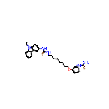 CCn1c2ccccc2c2cc(NC(=S)NCCCCCCCCOc3cccc(NC(N)=S)c3)ccc21